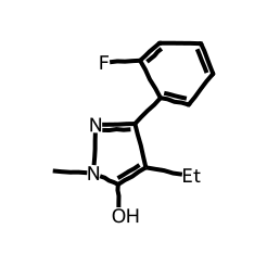 CCc1c(-c2ccccc2F)nn(C)c1O